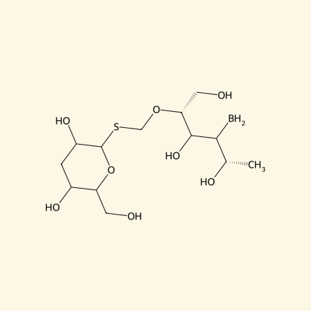 BC(C(O)[C@@H](CO)OCSC1OC(CO)C(O)CC1O)[C@H](C)O